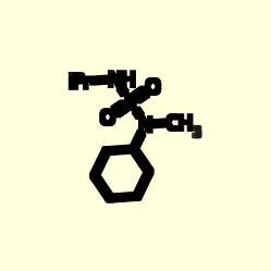 CC(C)NS(=O)(=O)N(C)C1CCCCC1